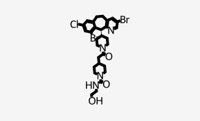 O=C(CC1CCN(C(=O)NCCO)CC1)N1CCC([C@H]2c3ncc(Br)cc3CCc3cc(Cl)cc(Br)c32)CC1